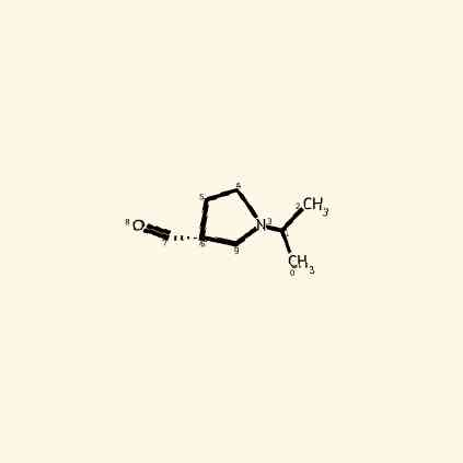 CC(C)N1CC[C@@H](C=O)C1